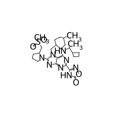 CC1CCC(Cn2c(N3CCCC3CS(C)(=O)=O)nc3nc(-c4noc(=O)[nH]4)nc(N[C@H](C)C4CCC4)c32)CC1